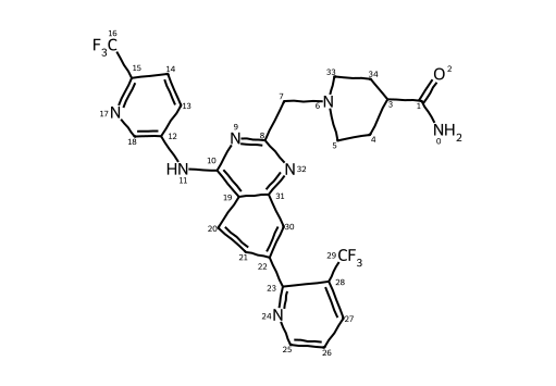 NC(=O)C1CCN(Cc2nc(Nc3ccc(C(F)(F)F)nc3)c3ccc(-c4ncccc4C(F)(F)F)cc3n2)CC1